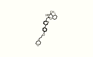 C[C@@H](NC(=O)Cc1ccc(-c2ccc(OCCCN3CCOCC3)cc2)cn1)C1CCCCC1